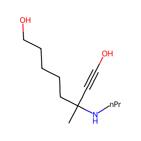 CCCNC(C)(C#CO)CCCCCO